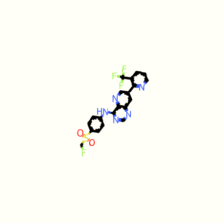 O=S(=O)(CF)c1ccc(Nc2ncnc3cc(-c4ncccc4C(F)(F)F)cnc23)cc1